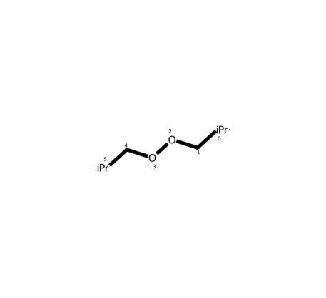 C[C](C)COOC[C](C)C